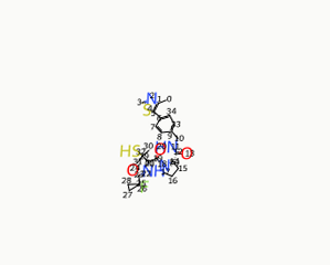 Cc1ncsc1-c1ccc(CNC(=O)[C@@H]2CCCN2C(=O)[C@@H](NC(=O)C2(F)CC2)C(C)(C)S)cc1